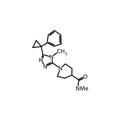 CNC(=O)C1CCN(c2nnc(C3(c4ccccc4)CC3)n2C)CC1